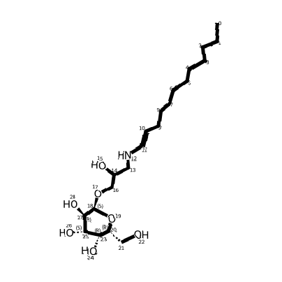 CCCCCCCCCCC=CNCC(O)CO[C@H]1O[C@H](CO)[C@H](O)[C@H](O)[C@H]1O